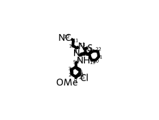 COc1ccc(CNc2nc(CCC#N)nc3sc4c(c23)CCCC4)cc1Cl